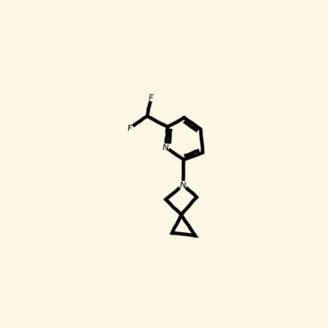 FC(F)c1cccc(N2CC3(CC3)C2)n1